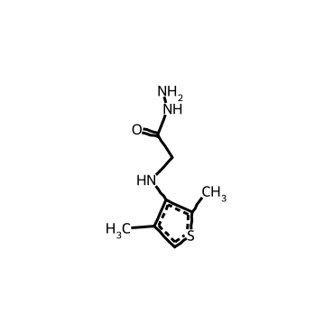 Cc1csc(C)c1NCC(=O)NN